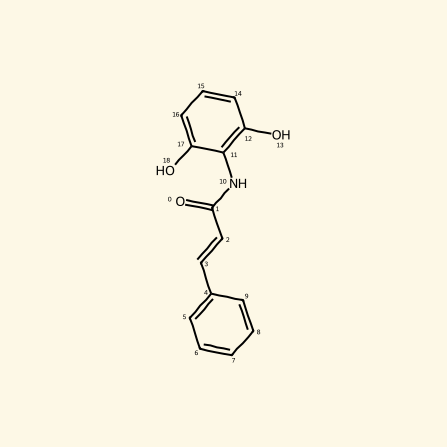 O=C(C=Cc1ccccc1)Nc1c(O)cccc1O